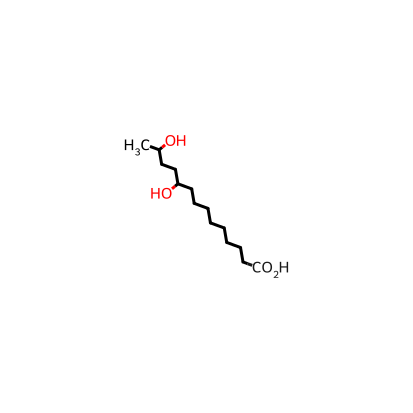 CC(O)CCC(O)CCCCCCCCC(=O)O